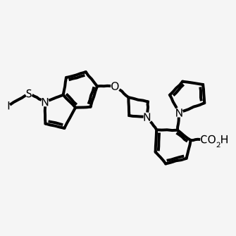 O=C(O)c1cccc(N2CC(Oc3ccc4c(ccn4SI)c3)C2)c1-n1cccc1